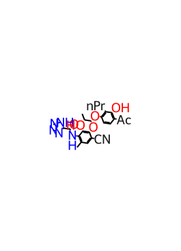 CCCc1c(OC(Oc2cc(NC(=O)c3nnn[nH]3)c(C)cc2C#N)C(C)O)ccc(C(C)=O)c1O